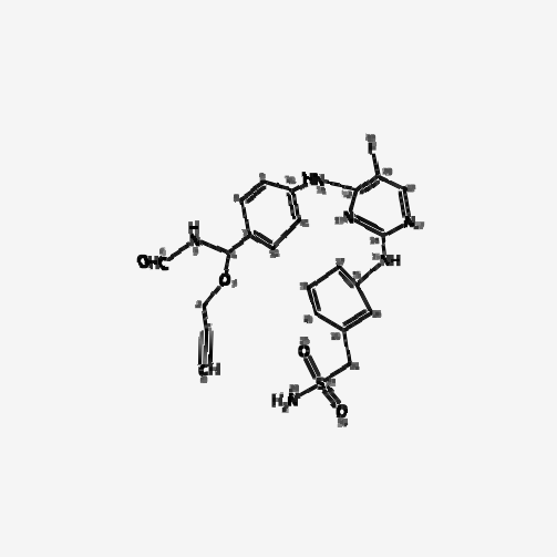 C#CCOC(NC=O)c1ccc(Nc2nc(Nc3cccc(CS(N)(=O)=O)c3)ncc2F)cc1